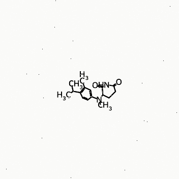 Cc1cc(N(C)C2CCC(=O)NC2=O)ccc1C(C)C